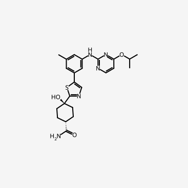 Cc1cc(Nc2nccc(OC(C)C)n2)cc(-c2cnc([C@]3(O)CC[C@H](C(N)=O)CC3)s2)c1